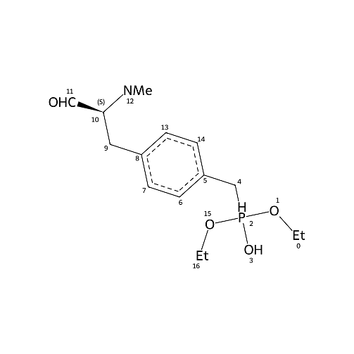 CCO[PH](O)(Cc1ccc(C[C@@H](C=O)NC)cc1)OCC